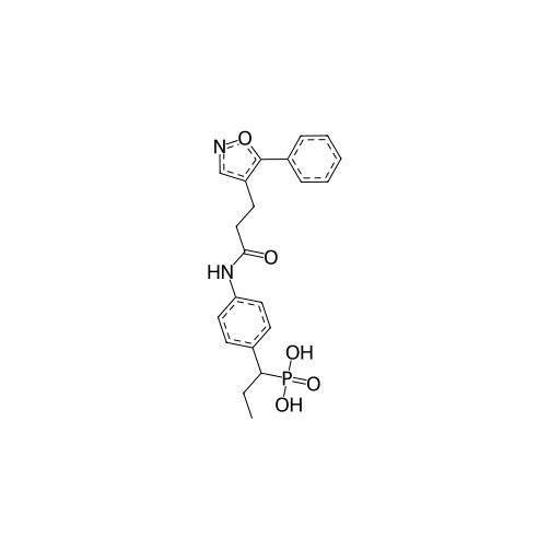 CCC(c1ccc(NC(=O)CCc2cnoc2-c2ccccc2)cc1)P(=O)(O)O